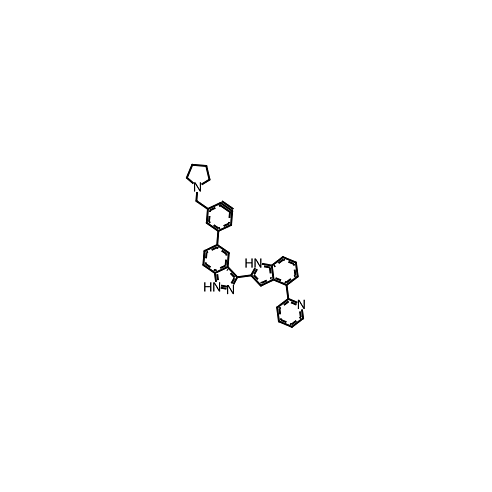 c1cc(-c2ccc3[nH]nc(-c4cc5c(-c6ccccn6)cccc5[nH]4)c3c2)cc(CN2CCCC2)c#1